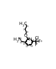 CCCCOc1nc(C(F)(F)Cl)ccc1CN